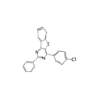 Clc1ccc(-c2nc(-c3ccccc3)nc3c2sc2ccccc23)cc1